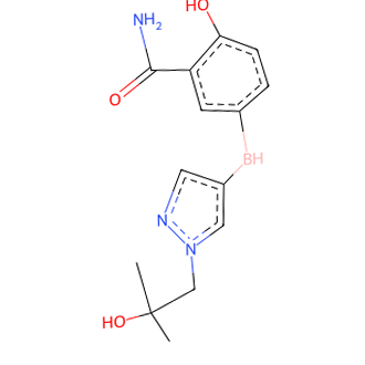 CC(C)(O)Cn1cc(Bc2ccc(O)c(C(N)=O)c2)cn1